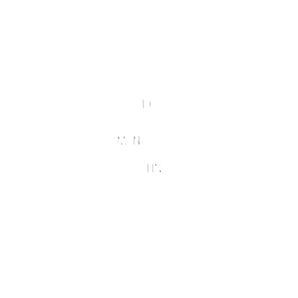 C=CNC(C)CC(CC)NC